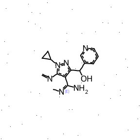 C=Nc1c(/C(N)=N\C)c(C(O)c2cccnc2)nn1C1CC1